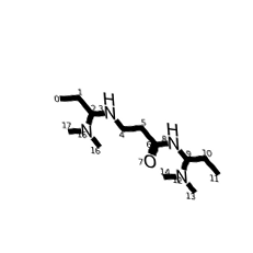 CCC(NCCC(=O)NC(CC)N(C)C)N(C)C